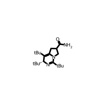 CC(C)(C)C1=N[C@H](C(C)(C)C)C(C(C)(C)C)=C2CC(C(N)=O)CN12